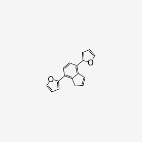 C1=Cc2c(-c3ccco3)ccc(-c3ccco3)c2C1